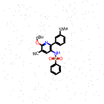 CCCCOc1nc(-c2cccc(SC)c2)c(NS(=O)(=O)c2ccccc2)cc1C#N